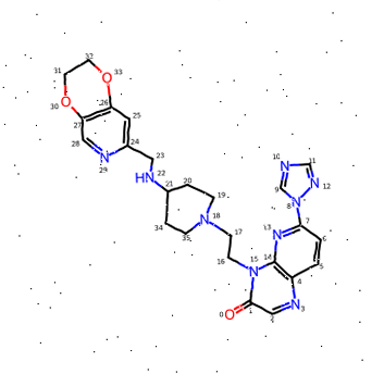 O=c1cnc2ccc(-n3cncn3)nc2n1CCN1CCC(NCc2cc3c(cn2)OCCO3)CC1